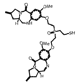 C=C1C[C@H]2CNc3cc(OCCP(=O)(CCS)CCOc4cc5c(cc4OC)C(=O)N4CC(=C)C[C@H]4C=N5)c(OC)cc3C(=O)N2C1